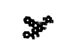 O=C(c1cn2c3c(c(NN=C4NCCN4)c(F)cc3c1=O)Oc1cc3ccccc3cc1-2)N1CCOCC1